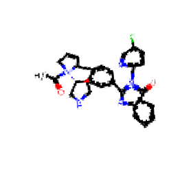 CC(=O)[N+]1([C@@H]2CCNC2)CC=CC1c1ccc(-c2nc3ccccc3c(=O)n2-c2ccc(Cl)cn2)cc1